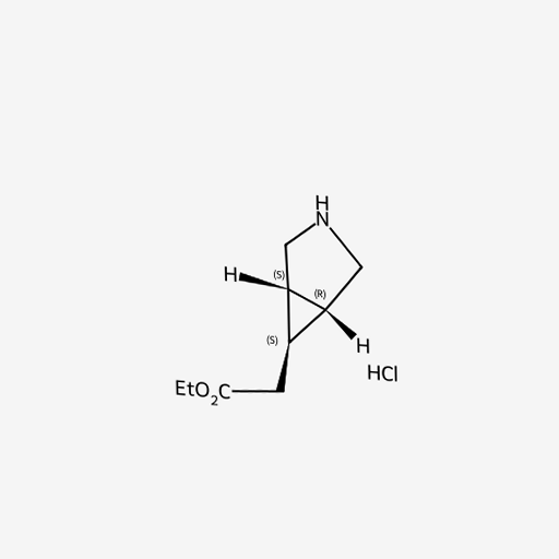 CCOC(=O)C[C@H]1[C@@H]2CNC[C@@H]21.Cl